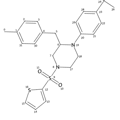 Cc1ccc(CC2CN(S(=O)(=O)c3cccs3)CCN2c2ccc(C(C)(C)O)cc2)cc1